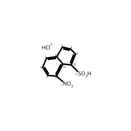 Cl.O=[N+]([O-])c1cccc2cccc(S(=O)(=O)O)c12